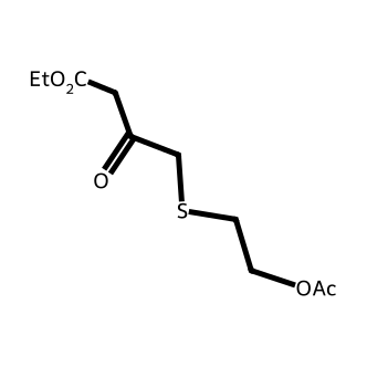 CCOC(=O)CC(=O)CSCCOC(C)=O